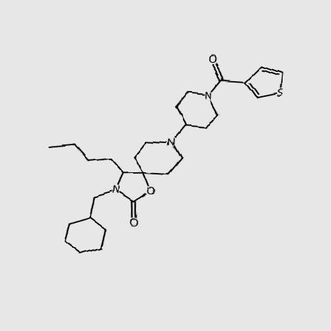 CCCCC1N(CC2CCCCC2)C(=O)OC12CCN(C1CCN(C(=O)c3ccsc3)CC1)CC2